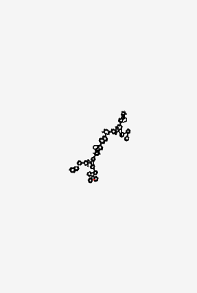 CC1C=CC(c2ccc(N(c3cccc(-c4ccccc4-c4ccccc4)c3)C3C=CC(c4ccc5c(c4)sc4ccccc45)=CC3C)cc2)=CC1c1ccc2cc(-c3ccc4c(c3)sc3cc(-c5ccc(N(c6ccc(-c7cccc(-c8ccc9ccccc9c8)c7)cc6)c6ccc(-c7cccc8c7-c7ccccc7C8(c7ccccc7)c7ccccc7)cc6)cc5)ccc34)ccc2c1